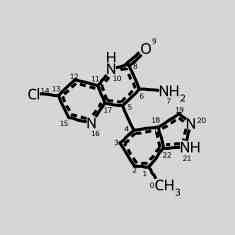 Cc1ccc(-c2c(N)c(=O)[nH]c3cc(Cl)cnc23)c2cn[nH]c12